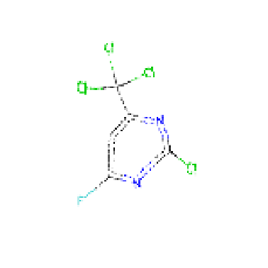 Fc1cc(C(Cl)(Cl)Cl)nc(Cl)n1